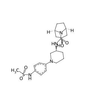 CS(=O)(=O)Nc1ccc(N2CCC[C@H](NC(=O)N3[C@@H]4CC[C@H]3C[C@@H](O)C4)C2)cc1